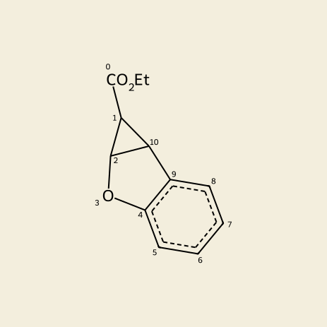 CCOC(=O)C1C2Oc3ccccc3C21